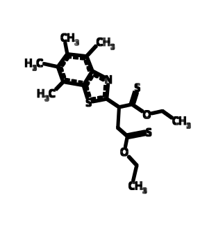 CCOC(=S)CC(C(=S)OCC)c1nc2c(C)c(C)c(C)c(C)c2s1